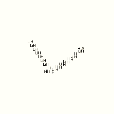 S.[LiH].[LiH].[LiH].[LiH].[LiH].[LiH].[LiH].[LiH].[LiH].[LiH].[LiH].[LiH].[LiH].[LiH].[LiH].[LiH].[LiH]